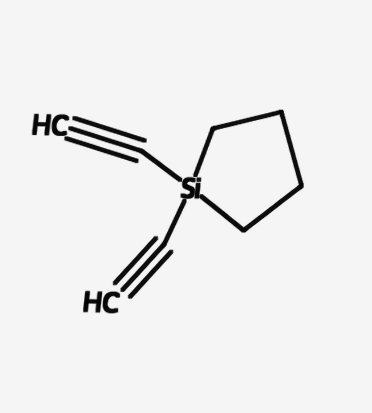 C#C[Si]1(C#C)CCCC1